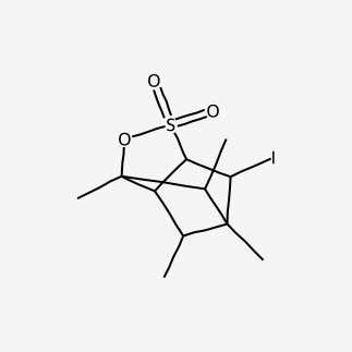 CC1C2C3C(I)C1(C)C(C)C2(C)OS3(=O)=O